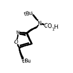 CC(C)(C)c1cc(N(C(=O)O)C(C)(C)C)no1